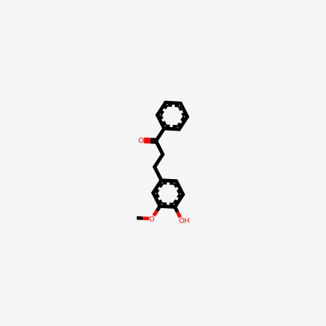 COc1cc(CCC(=O)c2ccccc2)ccc1O